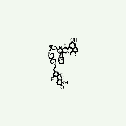 CCc1c(F)ccc2cc(O)cc(-c3ncc4c(N5CC6CCC(C5)N6)nc(OCC5(CN6CCC7(CCN(CCc8cc(F)c(C9CCC(=O)NC9=O)c(F)c8)CC7)CC6)CC5)nc4c3F)c12